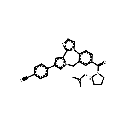 CN(C)C[C@H]1CCCN1C(=O)c1ccc2c(c1)Cn1cc(-c3ccc(C#N)cc3)cc1-c1nccn1-2